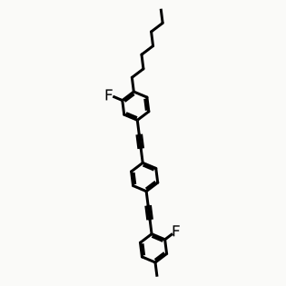 CCCCCCCc1ccc(C#Cc2ccc(C#Cc3ccc(C)cc3F)cc2)cc1F